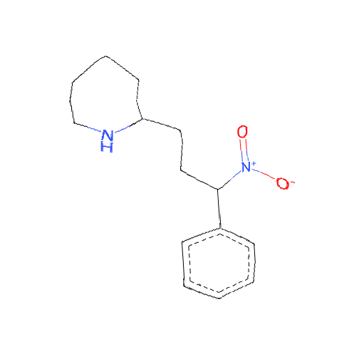 O=[N+]([O-])C(CCC1CCCCN1)c1ccccc1